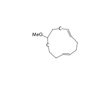 COC1CC/C=C/CC/C=C/CCC1